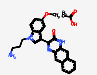 CC(=O)O.COc1ccc2c(c1)c(-c1nc3cc4ccccc4cc3[nH]c1=O)cn2CCCN